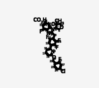 CC1(C)COCC1n1c(Cc2c(F)cc(-c3cccc(OCc4ccc(Cl)cc4F)n3)c(F)c2F)nc2c(F)cc(C(=O)O)cc21